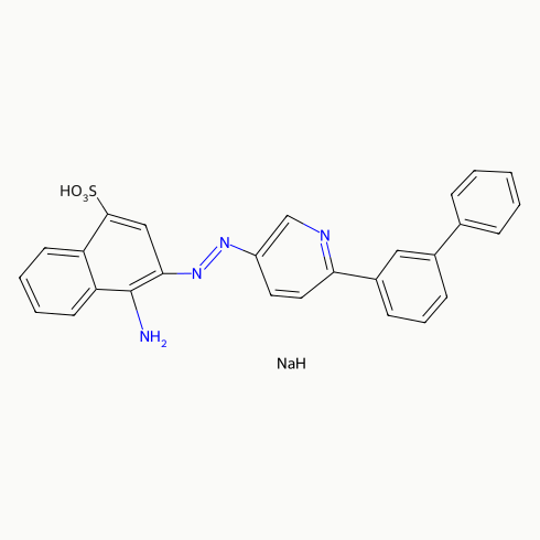 Nc1c(N=Nc2ccc(-c3cccc(-c4ccccc4)c3)nc2)cc(S(=O)(=O)O)c2ccccc12.[NaH]